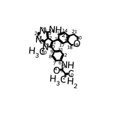 C=C(C)C(=O)Nc1ccc(-c2c(-c3ccc4c(c3)COCC4)c3c(N)ncnc3n2C)cc1